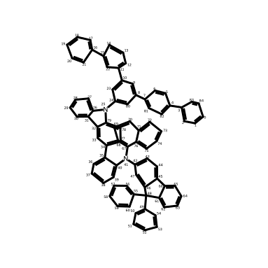 c1ccc(-c2ccc(-c3cc(-c4cccc(-c5ccccc5)c4)cc(-n4c5ccccc5c5cc(-c6ccccc6N(c6ccc7c(c6)C(c6ccccc6)(c6ccccc6)c6ccccc6-7)c6cccc7ccccc67)ccc54)c3)cc2)cc1